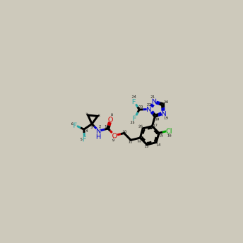 O=C(NC1(C(F)F)CC1)OCCc1ccc(Cl)c(-c2ncnn2C(F)F)c1